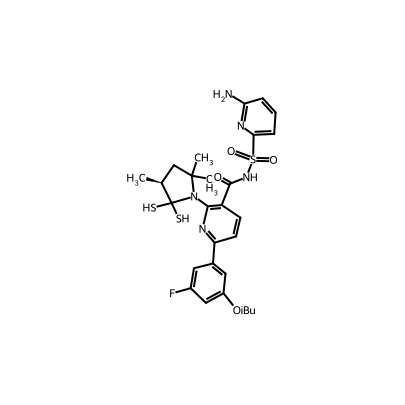 CC(C)COc1cc(F)cc(-c2ccc(C(=O)NS(=O)(=O)c3cccc(N)n3)c(N3C(C)(C)C[C@H](C)C3(S)S)n2)c1